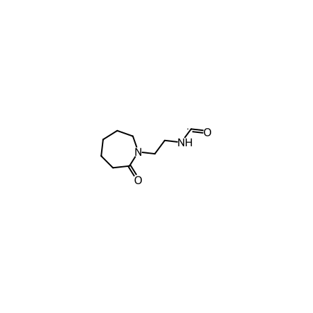 O=[C]NCCN1CCCCCC1=O